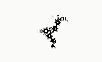 CN(C)c1ccc(C23CCC(CN(C(=O)C4CCC(O)CC4)c4cccc(-c5cnn(C6CC6)c5)c4)(CC2)CC3)cn1